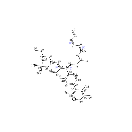 C=C/C=C\C=N/CC(C)C/C=C(/C(C=C)=C/N(CCCC)CC(F)(F)F)c1ncc(C2=C(C)OCC(C)=C2C)cc1C